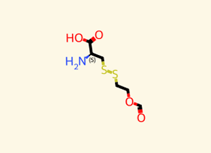 N[C@H](CSSCCOC=O)C(=O)O